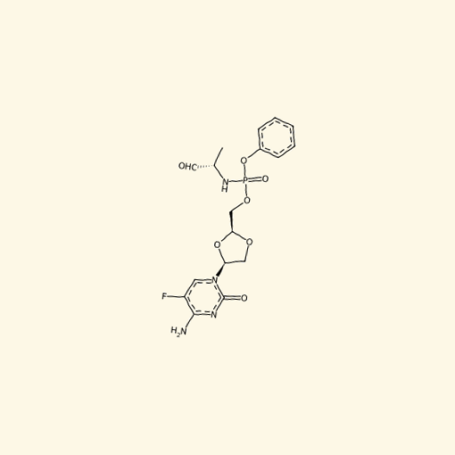 C[C@@H](C=O)NP(=O)(OC[C@H]1OC[C@@H](n2cc(F)c(N)nc2=O)O1)Oc1ccccc1